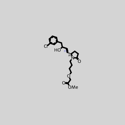 COC(=O)COCCCCN1C(=O)CC[C@@H]1/C=C/C(O)Cc1cccc(Cl)c1